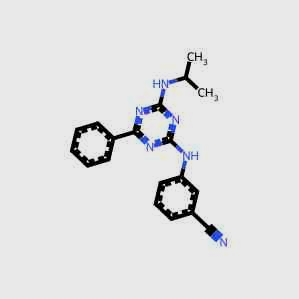 CC(C)Nc1nc(Nc2cccc(C#N)c2)nc(-c2ccccc2)n1